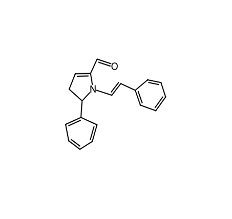 O=CC1=CCC(c2ccccc2)N1C=Cc1ccccc1